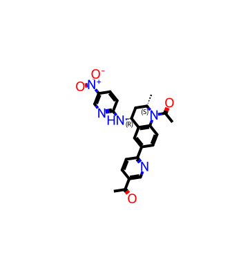 CC(=O)c1ccc(-c2ccc3c(c2)[C@H](Nc2ccc([N+](=O)[O-])cn2)C[C@H](C)N3C(C)=O)nc1